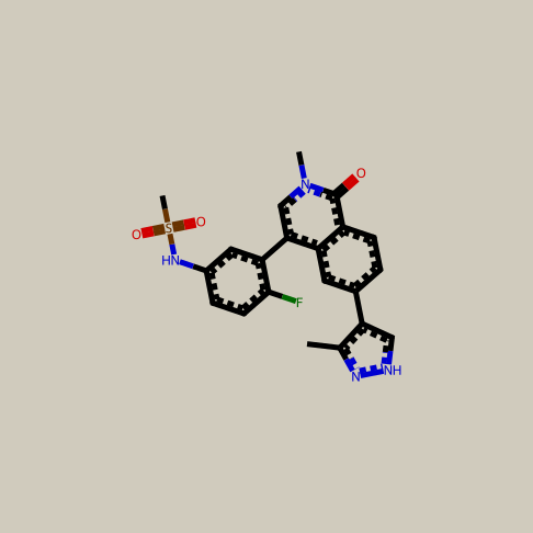 Cc1n[nH]cc1-c1ccc2c(=O)n(C)cc(-c3cc(NS(C)(=O)=O)ccc3F)c2c1